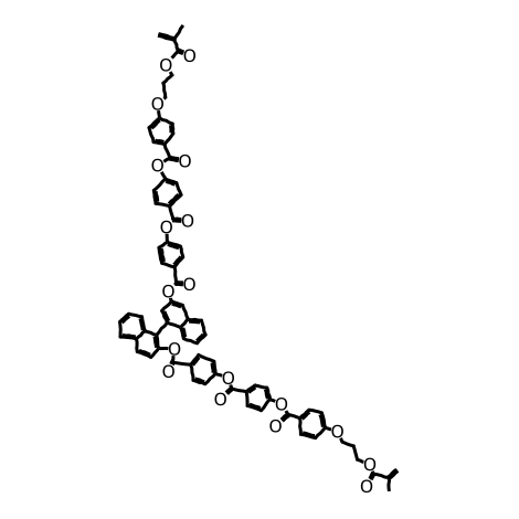 C=C(C)C(=O)OCCCOc1ccc(C(=O)Oc2ccc(C(=O)Oc3ccc(C(=O)Oc4cc(-c5c(OC(=O)c6ccc(OC(=O)c7ccc(OC(=O)c8ccc(OCCCOC(=O)C(=C)C)cc8)cc7)cc6)ccc6ccccc56)c5ccccc5c4)cc3)cc2)cc1